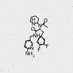 CC(=O)N(C1CCCCN1)[C@@H](Cc1ccc(F)c(F)c1)C(=O)NCc1ccc(N)nc1